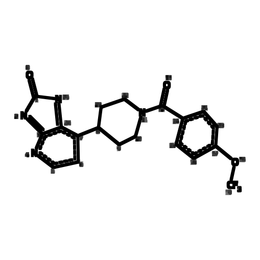 O=C1N=c2nccc(C3CCN(C(=O)c4ccc(OC(F)(F)F)cc4)CC3)c2=N1